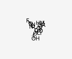 Cc1cc(C)c(CN2CCc3c(-c4cnc(N5CC(F)C5)nc4)cc(OC[C@@H](C)CO)c(Cl)c3C2=O)c(=O)[nH]1